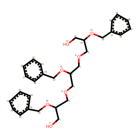 OCC(COCC(COCC(CO)OCc1ccccc1)OCc1ccccc1)OCc1ccccc1